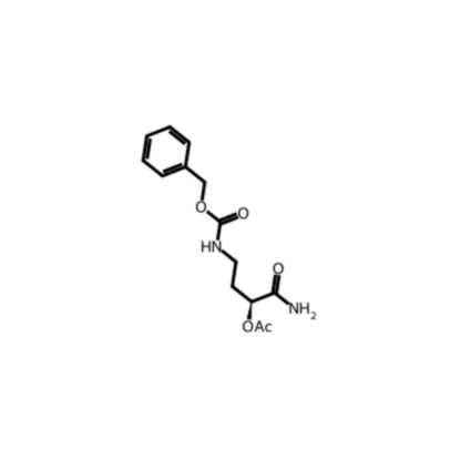 CC(=O)O[C@@H](CCNC(=O)OCc1ccccc1)C(N)=O